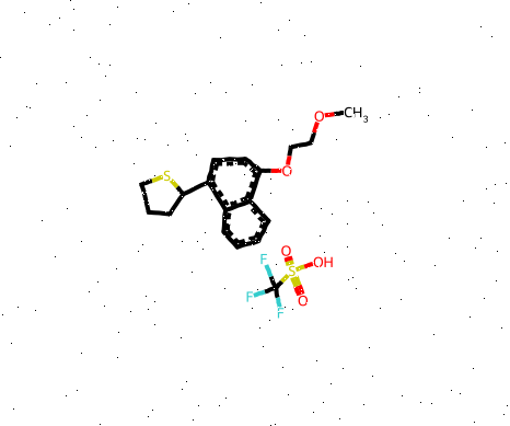 COCCOc1ccc(C2CCCS2)c2ccccc12.O=S(=O)(O)C(F)(F)F